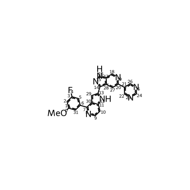 COc1cc(F)cc(-c2nccc3[nH]c(-c4n[nH]c5cnc(-c6cncnc6)cc45)cc23)c1